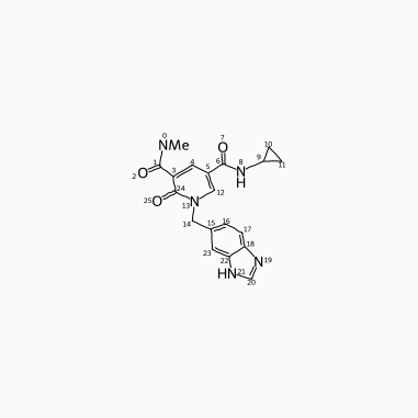 CNC(=O)c1cc(C(=O)NC2CC2)cn(Cc2ccc3nc[nH]c3c2)c1=O